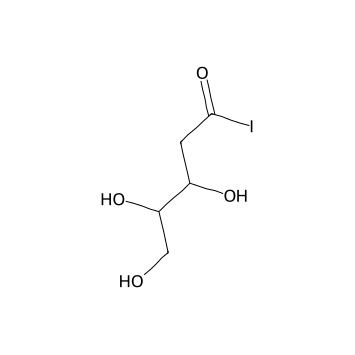 O=C(I)CC(O)C(O)CO